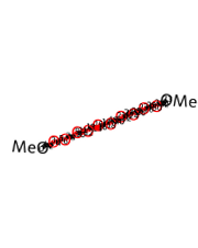 COCCOCCOCCOCCOCCOCCOCCOCCOCCOCCOCCOC